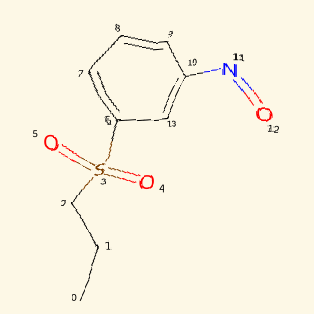 CCCS(=O)(=O)c1cccc(N=O)c1